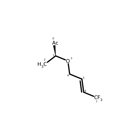 CC(=O)[C@H](C)OC/C=C/C(F)(F)F